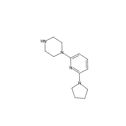 c1cc(N2CCCC2)nc(N2CCNCC2)c1